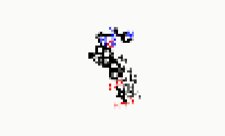 CC1(C2CC[C@]3(C(=O)N4CCCC4c4ncc(-c5cccnc5)[nH]4)CC[C@]4(C)[C@H](CC[C@@H]5[C@@]6(C)CC[C@H](OC(=O)C7CC(C(=O)O)C7(C)C)C(C)(C)[C@@H]6CC[C@]54C)[C@@H]23)CC1